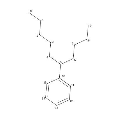 [CH2]CCCCC(CCCC)c1ccccc1